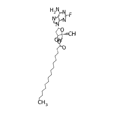 C#C[C@]1(COC(=O)CCCCCCCCCCCCCCCC)O[C@@H](n2cnc3c(N)nc(F)nc32)C[C@@H]1O